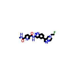 CNC(=O)c1ccc(C(=O)Nc2cc3cc(-c4cnn5c4CN(CCF)CC5)ccc3nn2)cn1